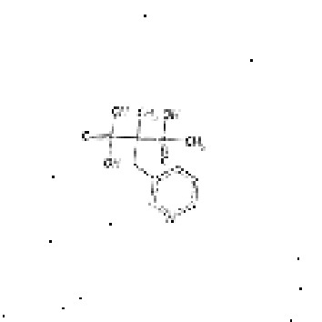 CC(Cc1cccnc1)(P(C)(=O)O)P(=O)(O)O